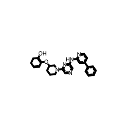 OC1=C(OC2CCCN(c3cncc(Nc4cc(-c5ccccc5)ccn4)n3)C2)C=CCC1